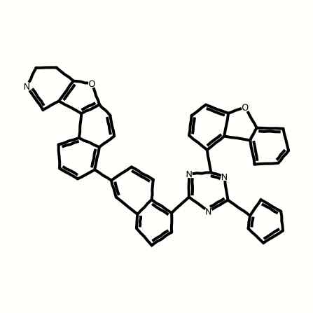 C1=NCCc2oc3ccc4c(-c5ccc6c(-c7nc(-c8ccccc8)nc(-c8cccc9oc%10ccccc%10c89)n7)cccc6c5)cccc4c3c21